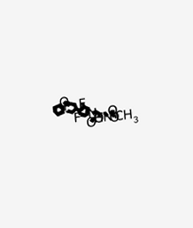 COC(=O)NC[C@H]1CN(c2cc(F)c(C3CCP(=O)(c4ccccc4)CC3)c(F)c2)C(=O)O1